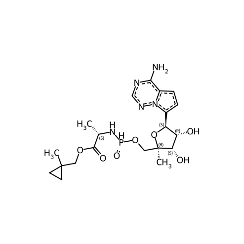 C[C@H](N[PH](=O)OC[C@@]1(C)O[C@@H](c2ccc3c(N)ncnn23)[C@H](O)[C@@H]1O)C(=O)OCC1(C)CC1